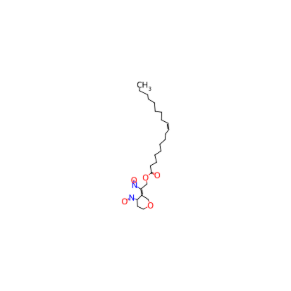 CCCCCCCC/C=C\CCCCCCCC(=O)OC/C(N=O)=C1\COCCC1N=O